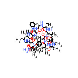 CC[C@H](C)[C@H](NC(=O)[C@H](C)N(C)C(=O)C[C@@H](C)O)C(=O)N(C)[C@@H](Cc1ccccc1)C(=O)N[C@@H](C)C(=O)N[C@@H](C)C(=O)N[C@@H](Cc1ccccc1)C(=O)N[C@@H](C)C(=O)N(C)[C@H](C)C(=O)N(C)[C@@H](CC(C)C)C(=O)N[C@@H](CC(C)C)C(=O)N(C)[C@H](C(N)=O)C(C)C